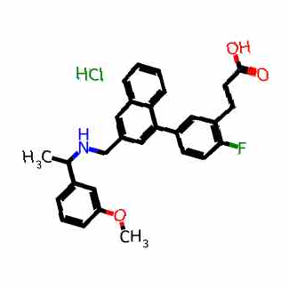 COc1cccc(C(C)NCc2cc(-c3ccc(F)c(CCC(=O)O)c3)c3ccccc3c2)c1.Cl